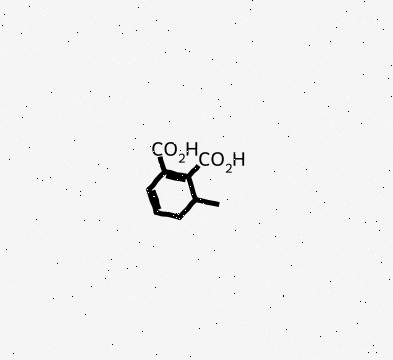 CC1CC=CC(C(=O)O)=C1C(=O)O